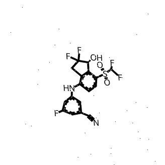 N#Cc1cc(F)cc(Nc2ccc(S(=O)(=O)C(F)F)c3c2CC(F)(F)[C@H]3O)c1